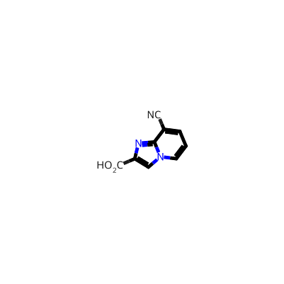 N#Cc1cccn2cc(C(=O)O)nc12